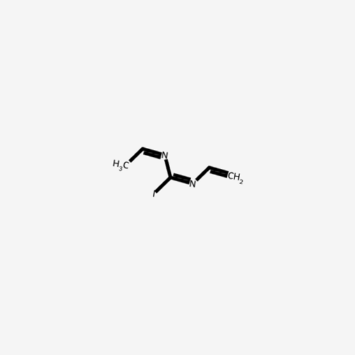 C=C/N=C(I)\N=C/C